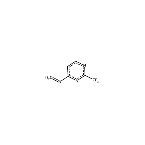 C=Nc1ccnc(C(F)(F)F)n1